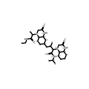 CCNC(=O)C(C)N1CC(=O)NC2CC(CC(C)C(C(=O)NC(C)C)N3CC(=O)NC4CCCCC43)CCC21